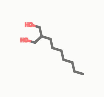 CCCCCCCC(CO)CO